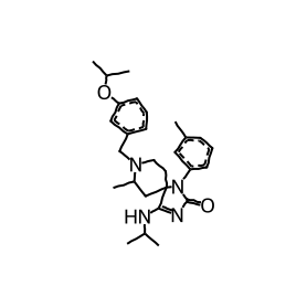 Cc1cccc(N2C(=O)N=C(NC(C)C)C23CCN(Cc2cccc(OC(C)C)c2)C(C)C3)c1